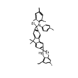 CCC1(Nc2c(C)cc(C)cc2C)c2cc3c(cc21)C(C)(C)c1cc2c(cc1-3)C2(CC)N(c1ccc(C)cc1)c1c(C)cc(C)cc1C